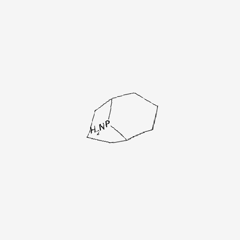 NP1C2CCCC1CCC2